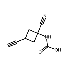 C#CC1CC(C#N)(NC(=O)O)C1